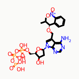 CC(C)[C@@H](OCc1cn([C@H]2CC(O)[C@@H](COP(=O)(O)OP(=O)(O)OP(=O)(O)O)O2)c2ncnc(N)c12)c1ccccc1[N+](=O)[O-]